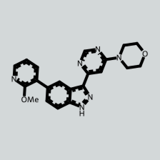 COc1ncccc1-c1ccc2[nH]nc(-c3cc(N4CCOCC4)ncn3)c2c1